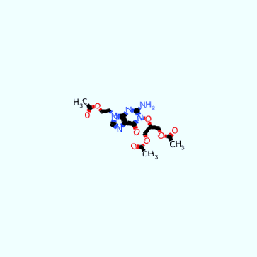 CC(=O)OCCn1cnc2c(=O)n(OC(COC(C)=O)COC(C)=O)c(N)nc21